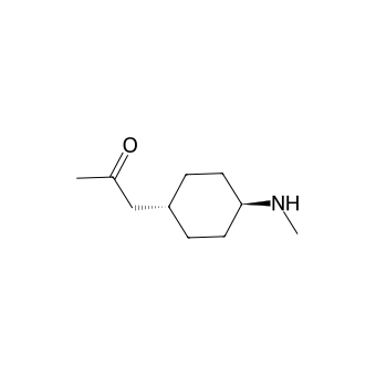 CN[C@H]1CC[C@H](CC(C)=O)CC1